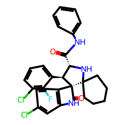 O=C(Nc1ccccc1)[C@@H]1NC2(CCCCC2)[C@@]2(C(=O)Nc3cc(Cl)ccc32)[C@H]1c1cccc(Cl)c1F